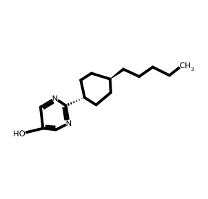 CCCCC[C@H]1CC[C@H](c2ncc(O)cn2)CC1